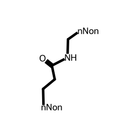 CCCCCCCCCCCC(=O)NCCCCCCCCCC